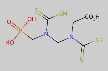 O=C(O)CN(CN(CP(=O)(O)O)C(=S)S)C(=S)S